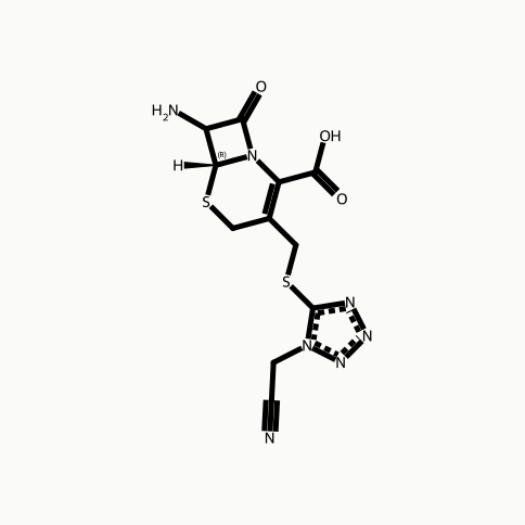 N#CCn1nnnc1SCC1=C(C(=O)O)N2C(=O)C(N)[C@H]2SC1